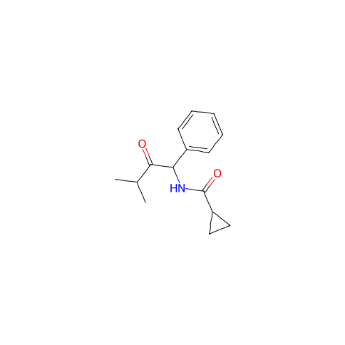 CC(C)C(=O)C(NC(=O)C1CC1)c1ccccc1